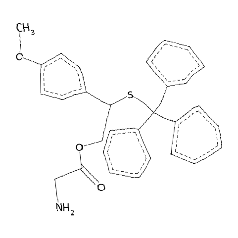 COc1ccc(C(COC(=O)CN)SC(c2ccccc2)(c2ccccc2)c2ccccc2)cc1